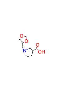 O=C(O)C1CCCN(CC2=COCO2)C1